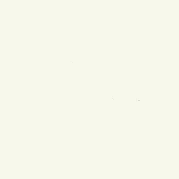 CC(NS(=O)(=O)C=Cc1cccc(Br)n1)c1ccccc1